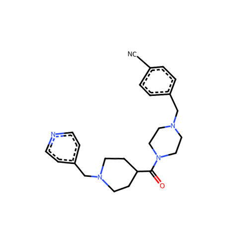 N#Cc1ccc(CN2CCN(C(=O)C3CCN(Cc4ccncc4)CC3)CC2)cc1